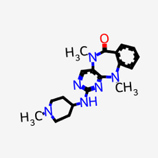 CN1CCC(Nc2ncc3c(n2)N(C)c2ccccc2C(=O)N3C)CC1